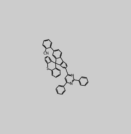 N#Cc1ccccc1-c1ccc2c(c1)C1(c3ccccc3Sc3ccccc31)c1cc(-c3cc(-c4ccccc4)nc(-c4ccccc4)n3)ccc1-2